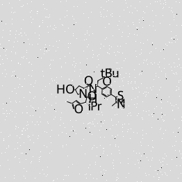 Cc1coc([C@H](C(=O)N2C[C@H](O)C[C@H]2C(=O)N[C@@H](CC(=O)C(C)(C)C)c2ccc(-c3scnc3C)cc2)C(C)C)c1